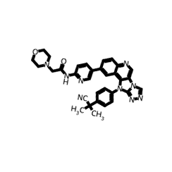 CC(C)(C#N)c1ccc(-n2c3c4cc(-c5ccc(NC(=O)CN6CCOCC6)nc5)ccc4ncc3n3cnnc23)cc1